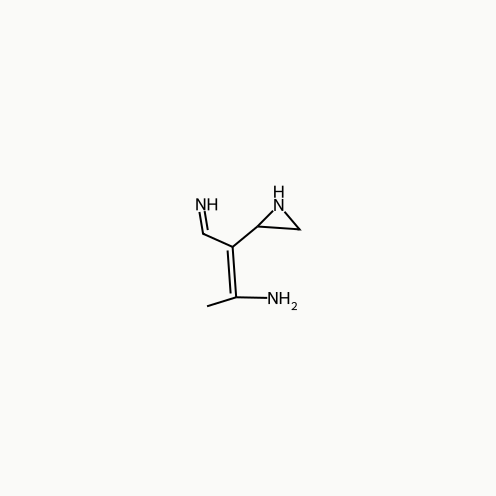 C/C(N)=C(\C=N)C1CN1